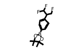 CC1(C)OB(c2ccc(C(CF)C(F)F)cc2)OC1(C)C